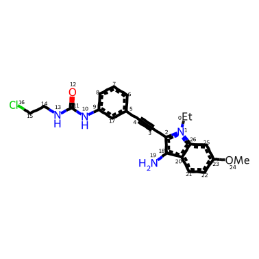 CCn1c(C#Cc2cccc(NC(=O)NCCCl)c2)c(N)c2ccc(OC)cc21